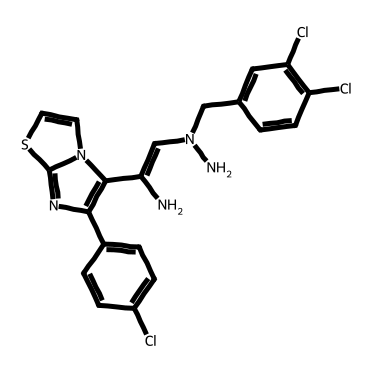 N/C(=C\N(N)Cc1ccc(Cl)c(Cl)c1)c1c(-c2ccc(Cl)cc2)nc2sccn12